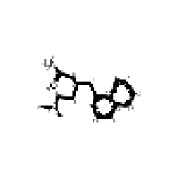 CN(C)CCC([CH]C(N)=O)Cc1cccc2ccccc12